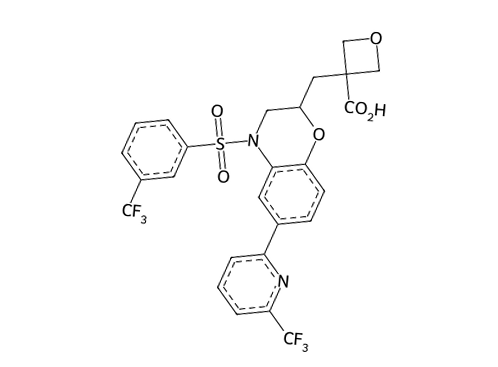 O=C(O)C1(CC2CN(S(=O)(=O)c3cccc(C(F)(F)F)c3)c3cc(-c4cccc(C(F)(F)F)n4)ccc3O2)COC1